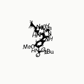 COc1cc2c(cc1NC(=O)OC(C)(C)C)[nH]c1ncnc(Nc3cc(C4CC4)nn3C)c12